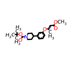 COC(=O)/C=C(\C)Oc1cccc(C2CCN(C(=O)OC(C)(C)C)CC2)c1